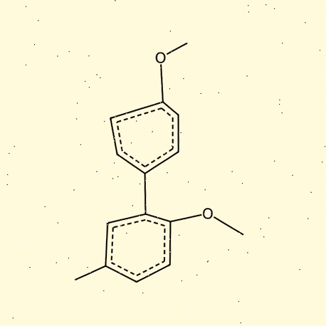 COc1ccc(-c2cc(C)ccc2OC)cc1